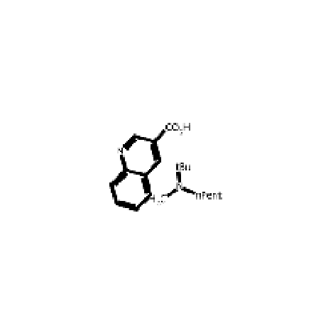 CCCCCN(C)C(C)(C)C.O=C(O)c1cnc2ccccc2c1